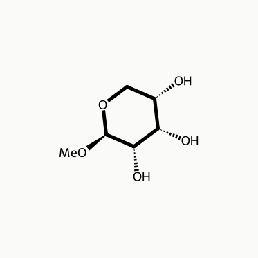 CO[C@H]1OC[C@H](O)[C@H](O)[C@@H]1O